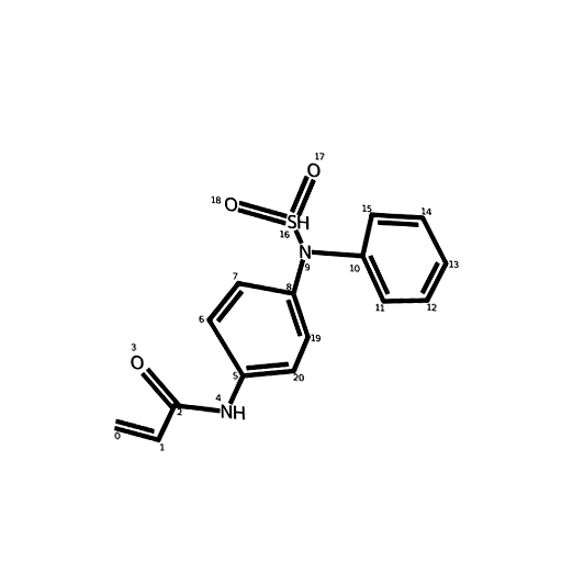 C=CC(=O)Nc1ccc(N(c2ccccc2)[SH](=O)=O)cc1